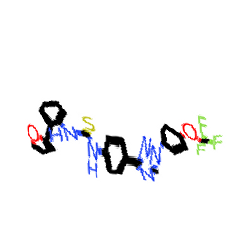 FC(F)(F)Oc1ccc(-n2cnc(-c3ccc(NC(=S)Nc4ccccc4-c4ccco4)cc3)n2)cc1